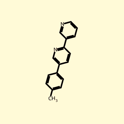 Cc1ccc(-c2ccc(-c3cccnc3)nc2)cc1